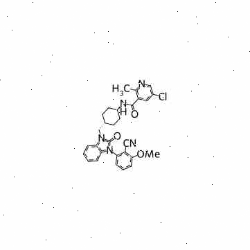 COc1cccc(-n2c(=O)n(C[C@H]3CC[C@H](NC(=O)c4cc(Cl)cnc4C)CC3)c3ccccc32)c1C#N